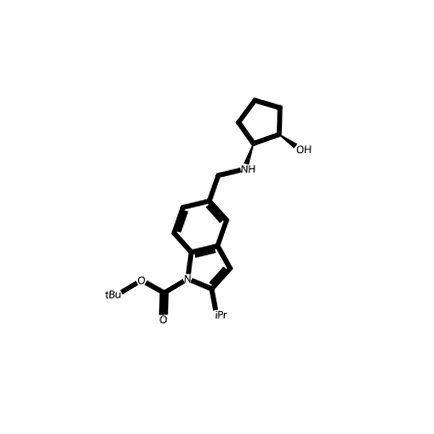 CC(C)c1cc2cc(CN[C@H]3CCC[C@H]3O)ccc2n1C(=O)OC(C)(C)C